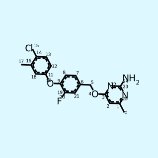 Cc1cc(OCc2ccc(Oc3ccc(Cl)c(C)c3)c(F)c2)nc(N)n1